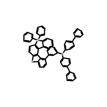 c1ccc(-c2ccc(N(c3ccc(-c4ccccc4)cc3)c3cccc(-c4cccc5sc6ccc7c(c6c45)-c4ccccc4[Si]7(c4ccccc4)c4ccccc4)c3)cc2)cc1